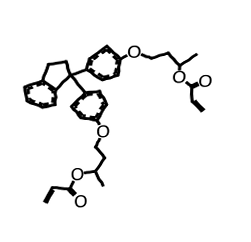 C=CC(=O)OC(C)CCOc1ccc(C2(c3ccc(OCCC(C)OC(=O)C=C)cc3)CCc3ccccc32)cc1